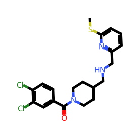 CSc1cccc(CNCC2CCN(C(=O)c3ccc(Cl)c(Cl)c3)CC2)n1